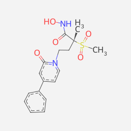 C[C@@](CCn1ccc(-c2ccccc2)cc1=O)(C(=O)NO)S(C)(=O)=O